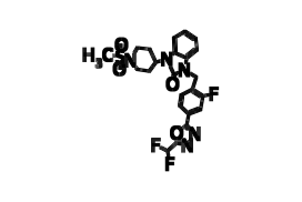 CS(=O)(=O)N1CCC(n2c(=O)n(Cc3ccc(-c4nnc(C(F)F)o4)cc3F)c3ccccc32)CC1